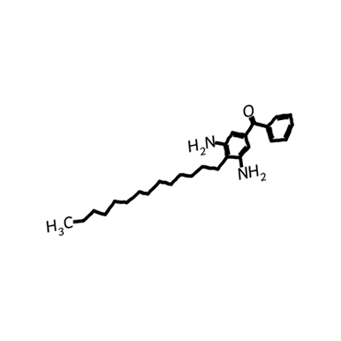 CCCCCCCCCCCCCCc1c(N)cc(C(=O)c2ccccc2)cc1N